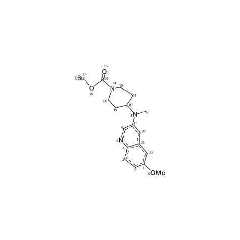 COc1ccc2ncc(N(C)C3CCN(C(=O)OC(C)(C)C)CC3)cc2c1